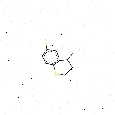 CC1CCSc2ccc(F)cc21